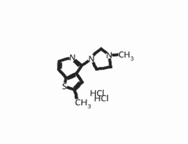 Cc1cc2c(N3CCN(C)CC3)nccc2s1.Cl.Cl